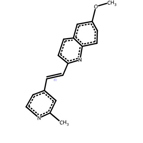 COc1ccc2nc(/C=C/c3ccnc(C)c3)ccc2c1